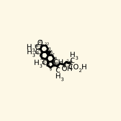 C/C(=C/C(O)CC(C)C1CCC2(C)C3CCC4C(C)(C)C(=O)CCC45CC35CCC12C)C(=O)O